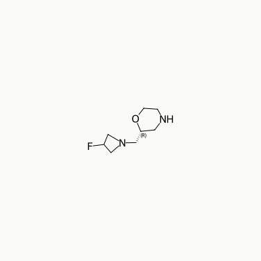 FC1CN(C[C@H]2CNCCO2)C1